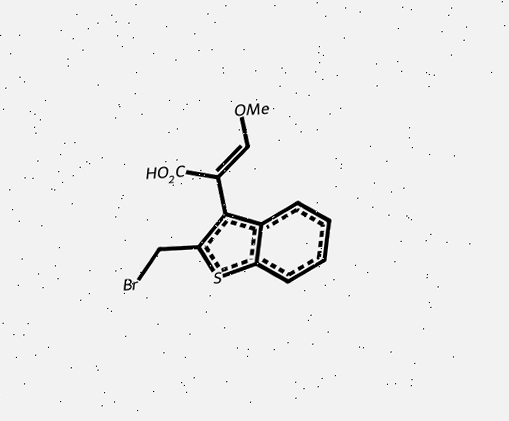 COC=C(C(=O)O)c1c(CBr)sc2ccccc12